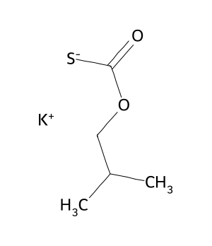 CC(C)COC(=O)[S-].[K+]